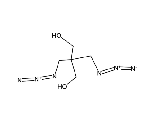 [N-]=[N+]=NCC(CO)(CO)CN=[N+]=[N-]